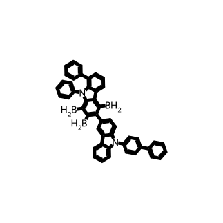 Bc1c(-c2ccc3c(c2)c2ccccc2n3-c2ccc(-c3ccccc3)cc2)c(B)c2c3cccc(-c4ccccc4)c3n(-c3ccccc3)c2c1B